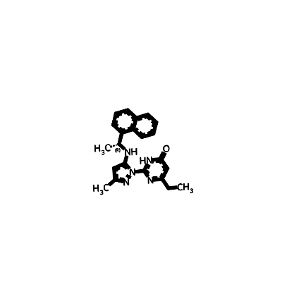 CCc1cc(=O)[nH]c(-n2nc(C)cc2N[C@H](C)c2cccc3ccccc23)n1